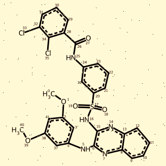 COc1cc(Nc2nc3ccccc3nc2NS(=O)(=O)c2cccc(NC(=O)c3cccc(Cl)c3Cl)c2)cc(OC)c1